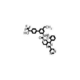 CCc1cc(NC(=O)N2CCc3nc(-c4cncnc4)nc(-c4ccccc4C)c3C2)cc(-c2ccc([C@@H](O)C(F)(F)F)cc2)c1